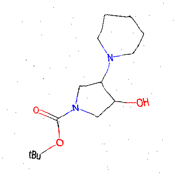 CC(C)(C)OC(=O)N1CC(O)C(N2CCCCC2)C1